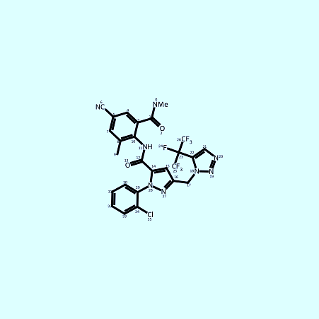 CNC(=O)c1cc(C#N)cc(C)c1NC(=O)c1cc(Cn2nncc2C(F)(C(F)(F)F)C(F)(F)F)nn1-c1ccccc1Cl